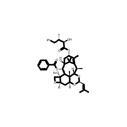 CC(=O)O[C@@]12CO[C@@H]1C[C@@H]1O[C@H](C=C(C)C)O[C@H]3[C@H](C)C4=C(C)[C@@H](OC(=O)[C@H](O)[C@@H](C)CC(C)C)C[C@@](O)([C@@H](OC(=O)c5ccccc5)[C@H]2[C@@]13C)C4(C)C